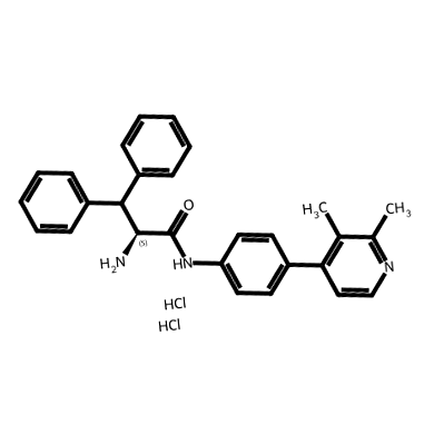 Cc1nccc(-c2ccc(NC(=O)[C@@H](N)C(c3ccccc3)c3ccccc3)cc2)c1C.Cl.Cl